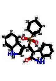 O=C1Nc2ccccc2C1=C(c1c[nH]c2ccccc12)S(=O)(=O)c1ccccc1